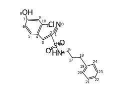 N#CC(=Cc1ccc(O)cc1Cl)S(=O)(=O)NCCCc1ccccc1